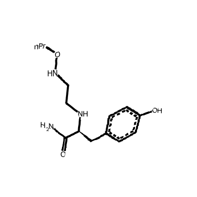 CCCONCCN[C@@H](Cc1ccc(O)cc1)C(N)=O